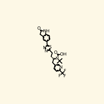 CC(C)(C)N(C(=O)O)[C@H](CCc1nnc(-c2ccc3c(c2)CC(=O)N3)s1)Cc1ccc(C(F)(F)F)nc1